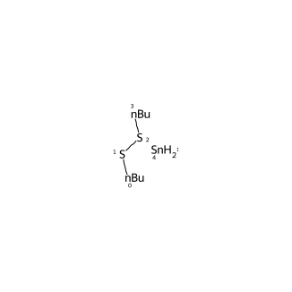 CCCCSSCCCC.[SnH2]